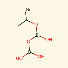 CC(OB(O)OB(O)O)C(C)(C)C